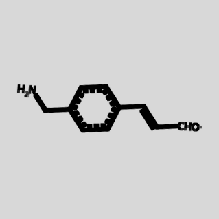 NCc1ccc(C=C[C]=O)cc1